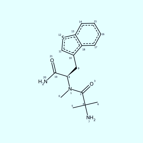 CN(C(=O)C(C)(C)N)[C@H](Cc1csc2ccccc12)C(N)=O